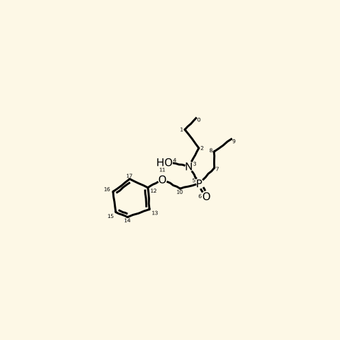 CCCN(O)P(=O)(CCC)COc1ccccc1